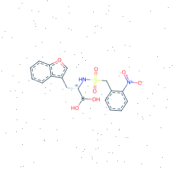 O=[N+]([O-])c1ccccc1CS(=O)(=O)N[C@@H](Cc1coc2ccccc12)B(O)O